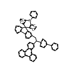 c1ccc(-c2ccc(C(Cc3ccc4c(c3)C3(c5ccccc5-4)c4ccccc4N(c4ccccc4)c4ccccc43)c3ccc4c5ccccc5c5ccccc5c4c3)cc2)cc1